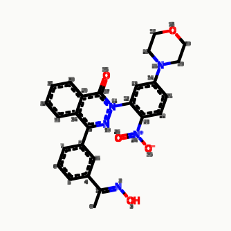 CC(=NO)c1cccc(-c2nn(-c3cc(N4CCOCC4)ccc3[N+](=O)[O-])c(=O)c3ccccc23)c1